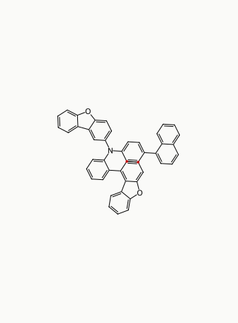 c1ccc(N(c2ccc(-c3cccc4ccccc34)cc2)c2ccc3oc4ccccc4c3c2)c(-c2cccc3oc4ccccc4c23)c1